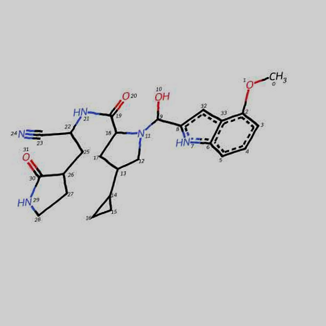 COc1cccc2[nH]c(C(O)N3CC(C4CC4)CC3C(=O)NC(C#N)CC3CCNC3=O)cc12